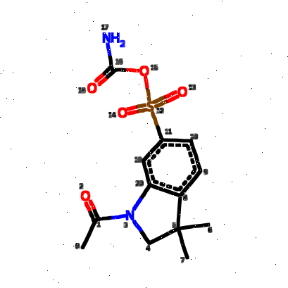 CC(=O)N1CC(C)(C)c2ccc(S(=O)(=O)OC(N)=O)cc21